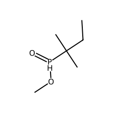 CCC(C)(C)[PH](=O)OC